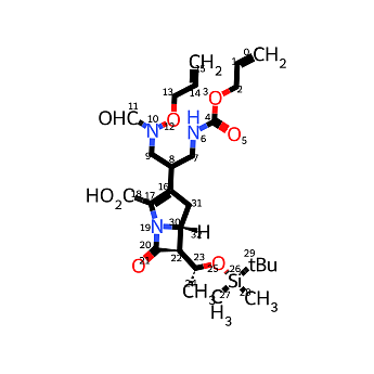 C=CCOC(=O)NCC(CN(C=O)OCC=C)C1=C(C(=O)O)N2C(=O)[C@H]([C@@H](C)O[Si](C)(C)C(C)(C)C)[C@H]2C1